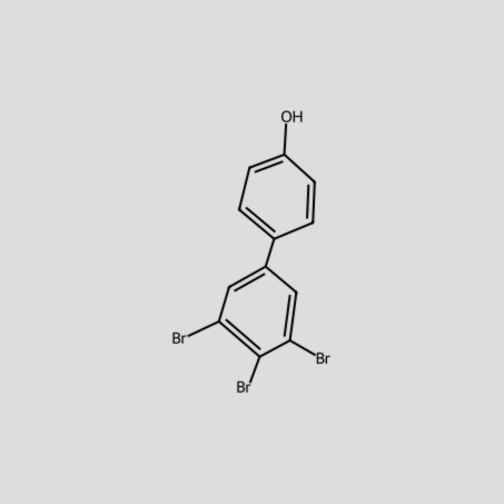 Oc1ccc(-c2cc(Br)c(Br)c(Br)c2)cc1